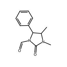 CC1C(c2ccccc2)N(C=O)C(=O)N1C